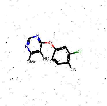 COc1ncnc(Oc2ccc(C#N)c(Cl)c2)c1[N+](=O)[O-]